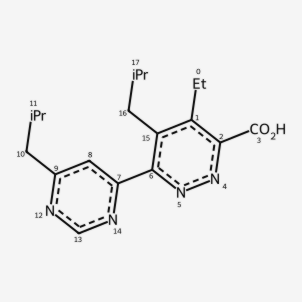 CCc1c(C(=O)O)nnc(-c2cc(CC(C)C)ncn2)c1CC(C)C